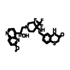 COc1ccc2nccc([C@@H](O)CN3CCC(NCc4ccc5c(c4)NC(=O)CS5)(C(F)(F)F)CC3)c2n1